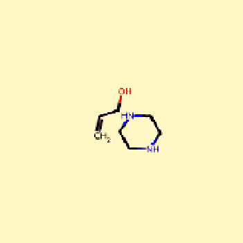 C1CNCCN1.C=CCO